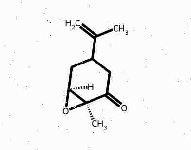 C=C(C)C1CC(=O)[C@@]2(C)O[C@H]2C1